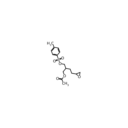 CC(=O)OCC(CCC1CO1)COS(=O)(=O)c1ccc(C)cc1